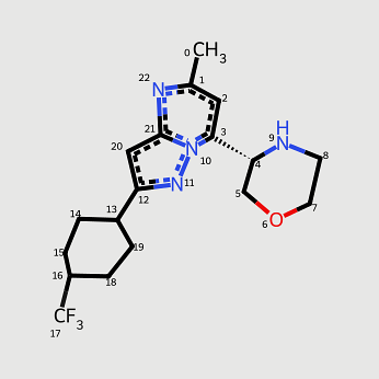 Cc1cc([C@H]2COCCN2)n2nc(C3CCC(C(F)(F)F)CC3)cc2n1